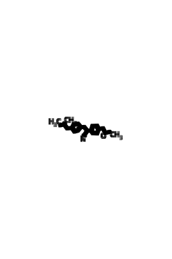 C=C(CC)Cc1ccc(CC(C#N)c2ccc(CC(=O)CC)cc2)cc1